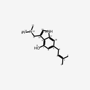 CC(C)=CCc1cc(O)c2c(CN(C)C(C)C)c[nH]c2c1